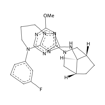 COc1cc(N2C[C@H]3CC[C@@H](C2)[C@@H]3Nc2nc3n(n2)CCCN3c2cccc(F)c2)ncn1